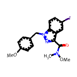 COc1ccc(Cn2nc(C(=O)N(C)OC)c3cc(I)ccc32)cc1